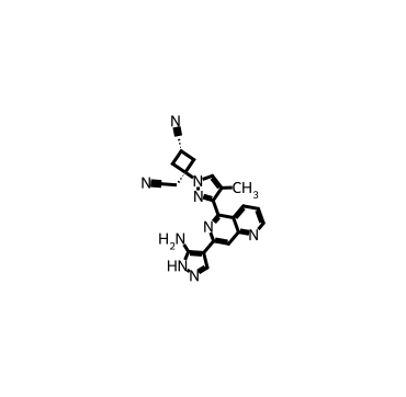 Cc1cn([C@]2(CC#N)C[C@@H](C#N)C2)nc1-c1nc(-c2cn[nH]c2N)cc2ncccc12